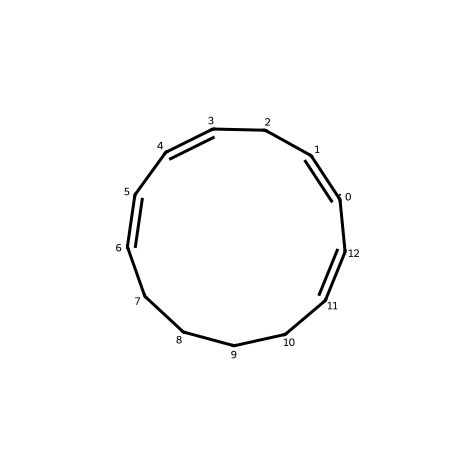 [C]1=CCC=CC=CCCCCC=C1